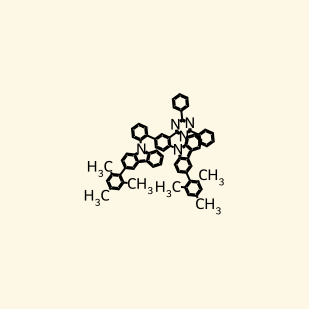 Cc1cc(C)c(-c2ccc3c(c2)c2ccccc2n3-c2ccccc2-c2ccc(-n3c4ccccc4c4cc(-c5c(C)cc(C)cc5C)ccc43)c(-c3nc(-c4ccccc4)nc(-c4ccccc4)n3)c2)c(C)c1